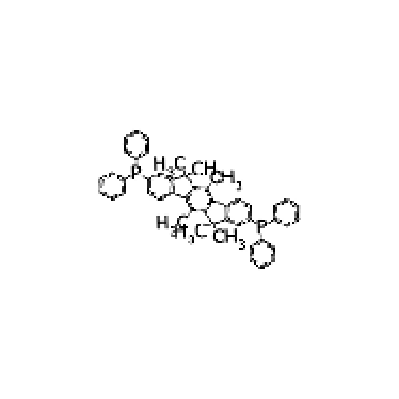 Cc1c2c(c(C)c3c1C(C)(C)c1cc(P(c4ccccc4)c4ccccc4)ccc1-3)C(C)(C)c1cc(P(c3ccccc3)c3ccccc3)ccc1-2